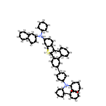 c1ccc(-c2ccccc2N(c2ccccc2)c2ccc(-c3ccc4c(c3)c3ccccc3c3c5ccc(N(c6ccccc6)c6ccc7ccccc7c6)cc5sc43)cc2)cc1